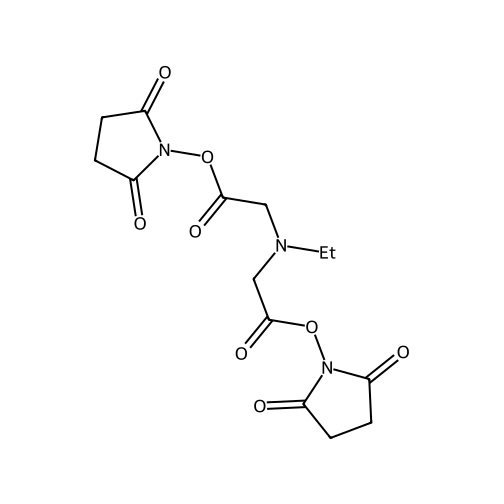 CCN(CC(=O)ON1C(=O)CCC1=O)CC(=O)ON1C(=O)CCC1=O